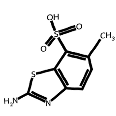 Cc1ccc2nc(N)sc2c1S(=O)(=O)O